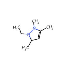 CCN1C(C)C=C(C)N1C